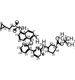 Cc1ccc2c(NS(=O)(=O)CCC3CC3)cccc2c1Oc1ncccc1-c1ccnc(NC2CCCN(C(=O)OC(C)(C)C)C2)n1